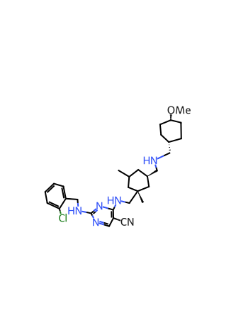 CO[C@H]1CC[C@H](CNC[C@@H]2CC(C)C[C@@](C)(CNc3nc(NCc4ccccc4Cl)ncc3C#N)C2)CC1